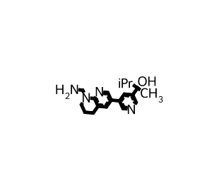 CC(C)C(C)(O)c1cncc(-c2cnc3c(c2)CCCN3CN)c1